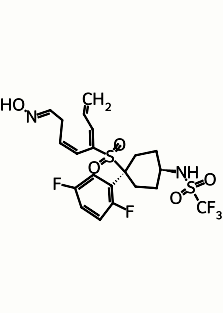 C=C/C=C(\C=C/C/C=N/O)S(=O)(=O)[C@]1(c2cc(F)ccc2F)CC[C@H](NS(=O)(=O)C(F)(F)F)CC1